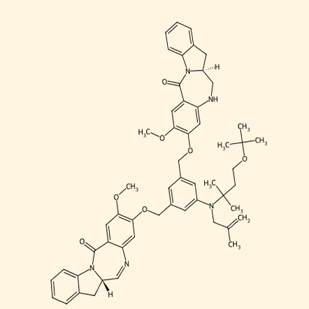 C=C(C)CN(c1cc(COc2cc3c(cc2OC)C(=O)N2c4ccccc4C[C@H]2C=N3)cc(COc2cc3c(cc2OC)C(=O)N2c4ccccc4C[C@H]2CN3)c1)C(C)(C)CCOC(C)(C)C